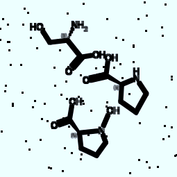 N[C@@H](CO)C(=O)O.O=C(O)[C@@H]1CCCN1.O=C(O)[C@@H]1CCCN1O